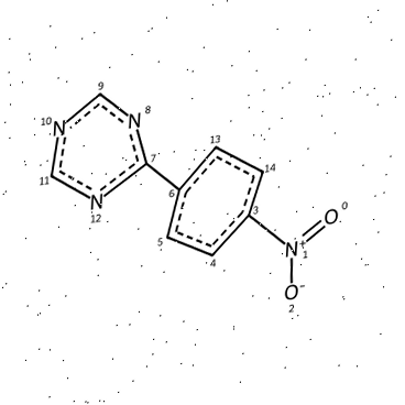 O=[N+]([O-])c1ccc(-c2ncncn2)cc1